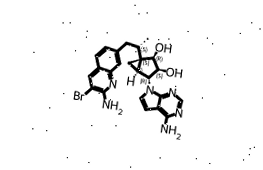 C[C@@H](Cc1ccc2cc(Br)c(N)nc2c1)[C@@]12C[C@@H]1[C@@H](n1ccc3c(N)ncnc31)[C@H](O)[C@@H]2O